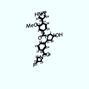 COc1cc(C(=O)N2CC(O)CC2c2cccc(C(=O)N3CC(F)C3)c2)ccc1-c1cn[nH]c1